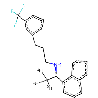 [2H]C([2H])([2H])[C@@H](NCCCc1cccc(C(F)(F)F)c1)c1cccc2ccccc12